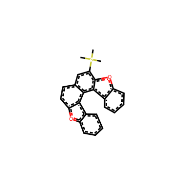 CS(C)(C)c1cc2ccc3oc4ccccc4c3c2c2c1oc1ccccc12